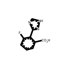 O=C(O)c1cccc(F)c1-c1nc[nH]n1